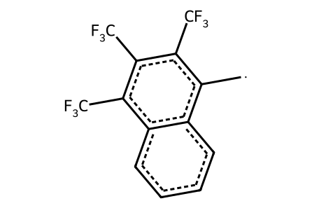 [CH2]c1c(C(F)(F)F)c(C(F)(F)F)c(C(F)(F)F)c2ccccc12